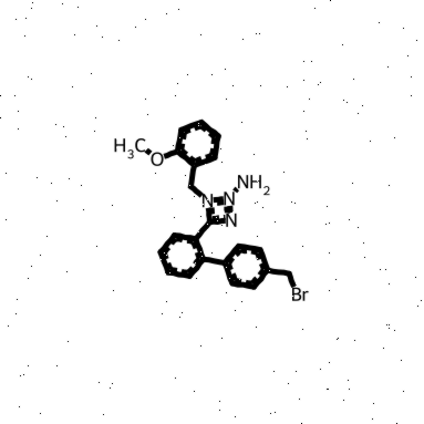 COc1ccccc1Cn1c(-c2ccccc2-c2ccc(CBr)cc2)nn1N